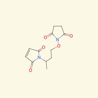 CC(CCON1C(=O)CCC1=O)N1C(=O)C=CC1=O